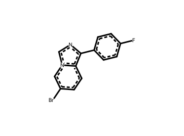 Fc1ccc(-c2ncn3cc(Br)ccc23)cc1